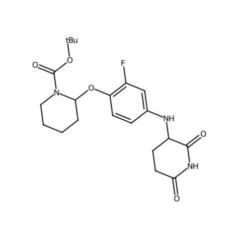 CC(C)(C)OC(=O)N1CCCCC1Oc1ccc(NC2CCC(=O)NC2=O)cc1F